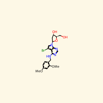 COc1ccc(CNc2ncnc3c2c(Br)cn3[C@H]2C[C@H](O)[C@@H](CO)O2)c(OC)c1